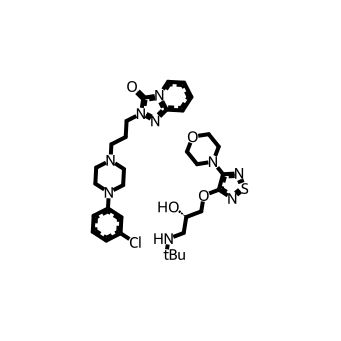 CC(C)(C)NC[C@H](O)COc1nsnc1N1CCOCC1.O=c1n(CCCN2CCN(c3cccc(Cl)c3)CC2)nc2ccccn12